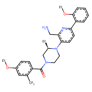 CCOc1ccc(C(=O)N2CCN(c3ccc(-c4ccccc4OCC)nc3CN)[C@H](CC)C2)c(C(F)(F)F)c1